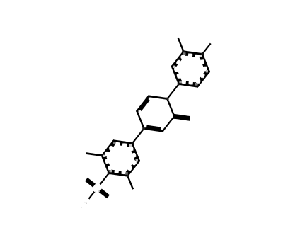 Cc1ccc(C2C=CC(c3cc(F)c(S(N)(=O)=O)c(F)c3)=CC2=S)cc1C(F)(F)F